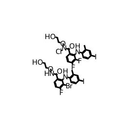 Cc1cc(I)ccc1Nc1c(C(=O)N(Cl)OCCO)ccc(F)c1F.Cc1cc(I)ccc1Nc1c(C(=O)NOCCO)ccc(F)c1Br